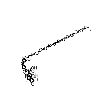 C[C@]12C[C@H](O)[C@@]3(F)[C@@H](C[C@H](F)C4=CC(=O)C=C[C@@]43C)[C@@H]1CCOC(c1ccc(Oc3ccc(NC(=O)CCOCCOCCOCCOCCOCCOCCOCCOCCOCCOCCOCCOCCN)cc3)cc1)O[C@H]2C(=O)CO